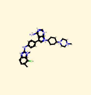 Cc1ccc2nc(Nc3ccc(-c4cn(C5CCC(N6CCN(C)CC6)CC5)c5ncnc(N)c45)cc3)n(C)c2c1Cl